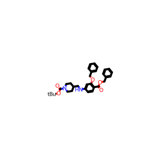 CC(C)(C)OC(=O)N1CCC(CNc2ccc(C(=O)OCc3ccccc3)c(OCc3ccccc3)c2)CC1